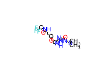 CN(C)CCNC(=O)C1CN=C(c2cc(Oc3cccc(C=CC(=O)Nc4cccc(C(F)(F)F)c4)c3)ccn2)N1